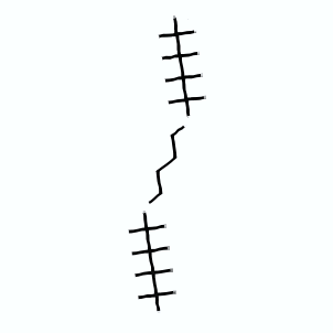 O=C(O)C(F)(F)C(F)(F)C(F)(F)C(F)(F)OCCCCOC(F)(F)C(F)(F)C(F)(F)C(F)(F)C(=O)O